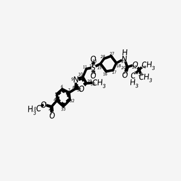 COC(=O)c1ccc(-c2nc(CS(=O)(=O)C3CCC(NC(=O)OC(C)(C)C)CC3)c(C)o2)cc1